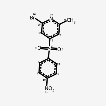 Cc1cc(S(=O)(=O)c2ccc([N+](=O)[O-])cc2)cc(Br)n1